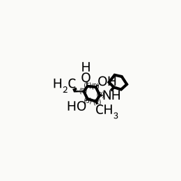 C=C[C@H]1[C@H](O)[C@H](O)[C@H](NC2CCCCC2)[C@@H](C)[C@@H]1O